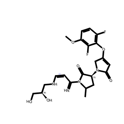 COc1ccc(F)c(OC2=CC(=O)N([C@H]3CC(C)N(C(=N)/C=C\NC[C@@H](O)CO)C3=O)C2)c1F